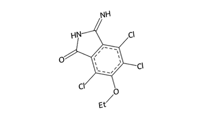 CCOc1c(Cl)c(Cl)c2c(c1Cl)C(=O)NC2=N